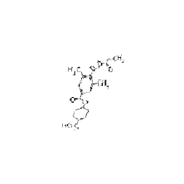 C=CC(=O)OCOc1c(C)cc(C(=O)OC2CCC(C(=O)O)CC2)cc1C